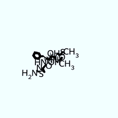 CSCC[C@@H](NC(C)=O)[C@@H](O)[C@H](O)[C@H](Cc1ccccc1)NC(=O)c1csc(N)n1